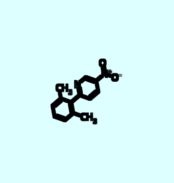 Cc1cccc(C)c1-c1ccc([N+](=O)[O-])cn1